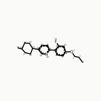 CCCOc1ccc(-c2ccc(C3CCC(C)CC3)cn2)c(F)c1